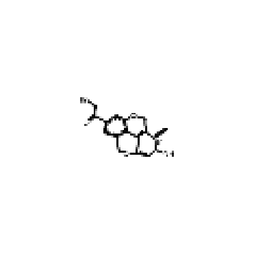 C=CC1=C2/C(=C\C(O)Br)OCc3cc(C(=O)CBr)cc(c32)OC1